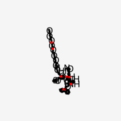 COCCOCCOCCOCCOCCOCCOCCOCCOCC#Cc1cc(NC(=O)C(CCCNC(N)=O)NC(=O)C(NC(=O)OCC2c3ccccc3-c3ccccc32)C(C)C)ccc1CO[Si](C)(C)C(C)(C)C